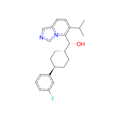 CC(C)c1ccc2cncn2c1[C@H](O)[C@H]1CC[C@H](c2cccc(F)c2)CC1